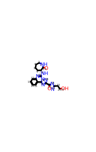 O=C1NCCCC[C@H]1Nc1nc2ccccc2c2nc(-c3nc(CCO)no3)nn12